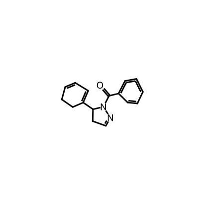 O=C(C1=C=C=CC=C1)N1N=CCC1C1=CC=CCC1